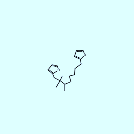 CC(CCCC[CH]c1ccco1)C(C)(C)[CH]c1ccco1